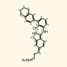 CC(=O)NCCN=c1cnc2c(Nc3cccc(-c4ccc5c(c4)OCCO5)c3Cl)[nH]sc-2c1